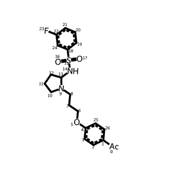 CC(=O)c1ccc(OCCCN2CCCC2NS(=O)(=O)c2cccc(F)c2)cc1